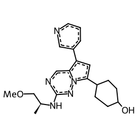 COC[C@H](C)Nc1ncc2c(-c3cccnc3)cc(C3CCC(O)CC3)n2n1